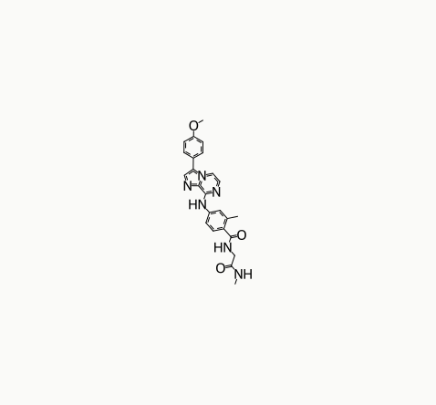 CNC(=O)CNC(=O)c1ccc(Nc2nccn3c(-c4ccc(OC)cc4)cnc23)cc1C